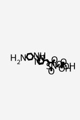 N[C@H]1CC[C@H](Nc2nccc(/C=C3\SC(=O)N(COP(=O)(O)O)C3=O)n2)CC1